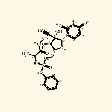 C#C[C@]1(O)[C@H](O)[C@@H](COP(=O)(N[C@@H](C)C(=O)OC(C)C)Oc2ccccc2)O[C@H]1n1ccc(=O)[nH]c1=O